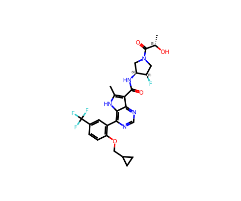 Cc1[nH]c2c(-c3cc(C(F)(F)F)ccc3OCC3CC3)ncnc2c1C(=O)N[C@H]1CN(C(=O)[C@H](C)O)C[C@H]1F